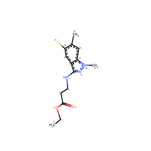 CCOC(=O)CCNc1nn(C)c2cc(C)c(F)cc12